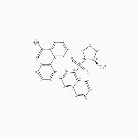 NC(=O)c1ccccc1-c1ccccc1.O=C(O)[C@@H]1CCCN1S(=O)(=O)c1cccc2cnccc12